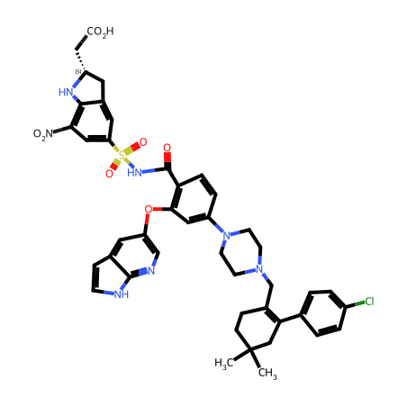 CC1(C)CCC(CN2CCN(c3ccc(C(=O)NS(=O)(=O)c4cc5c(c([N+](=O)[O-])c4)N[C@H](CC(=O)O)C5)c(Oc4cnc5[nH]ccc5c4)c3)CC2)=C(c2ccc(Cl)cc2)C1